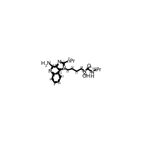 CCCc1nc2c(N)nc3ccccc3c2n1CCCCN(O)C(=O)NC(C)C